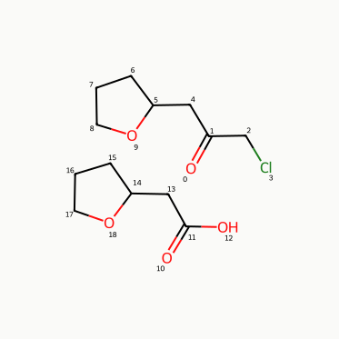 O=C(CCl)CC1CCCO1.O=C(O)CC1CCCO1